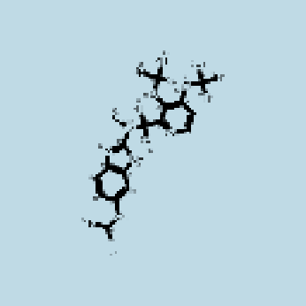 [2H]C([2H])([2H])Oc1ccnc(C([2H])([2H])[S+]([O-])c2nc3ccc(OC(F)F)cc3[nH]2)c1OC([2H])([2H])[2H]